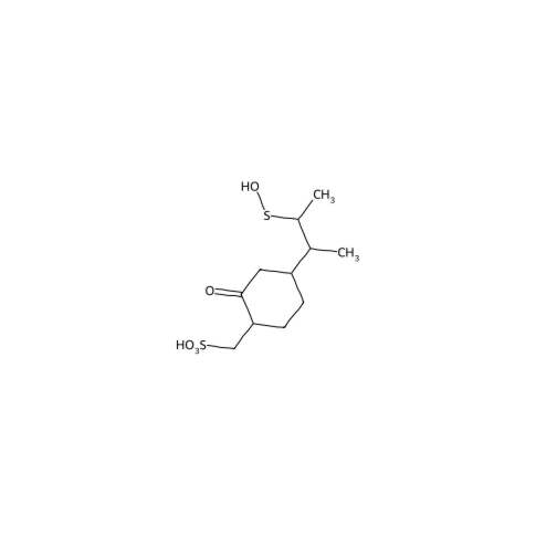 CC(SO)C(C)C1CCC(CS(=O)(=O)O)C(=O)C1